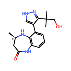 C[C@@H]1CC(=O)Nc2cccc(-c3c[nH]nc3C(C)(C)CO)c2N1